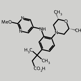 COc1ncc(Nc2cc(C(C)(C)CC(=O)O)ccc2N2C[C@@H](C)O[C@@H](C)C2)cn1